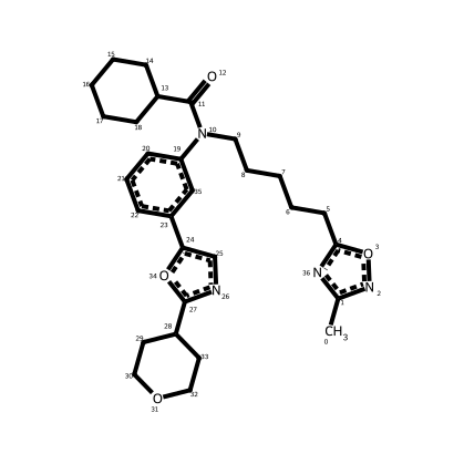 Cc1noc(CCCCCN(C(=O)C2CCCCC2)c2cccc(-c3cnc(C4CCOCC4)o3)c2)n1